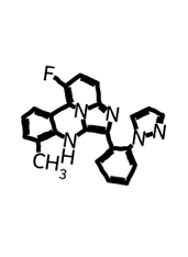 Cc1cccc2c1Nc1c(-c3ccccc3-n3cccn3)nc3ccc(F)c-2n13